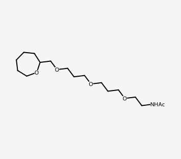 CC(=O)NCCOCCCOCCCOCC1CCCCCO1